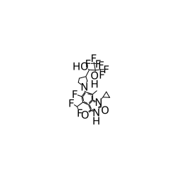 Cc1c(N2CCC(C(O)C(O)(C(F)(F)F)C(F)(F)F)C2)c(F)c(C(F)F)c2c(=O)[nH]c(=O)n(C3CC3)c12